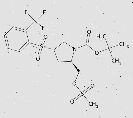 CC(C)(C)OC(=O)N1C[C@@H](S(=O)(=O)c2ccccc2C(F)(F)F)C[C@@H]1COS(C)(=O)=O